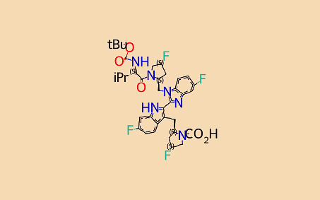 CC(C)[C@H](NC(=O)OC(C)(C)C)C(=O)N1C[C@@H](F)C[C@H]1Cn1c(-c2[nH]c3cc(F)ccc3c2C[C@@H]2C[C@H](F)CN2C(=O)O)nc2cc(F)ccc21